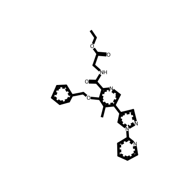 CCOC(=O)CNC(=O)c1ncc(-c2cnn(-c3ccccn3)c2)c(C)c1OCc1ccccc1